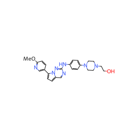 COc1ccc(-c2ccc3cnc(Nc4ccc(N5CCN(CCO)CC5)cc4)nn23)cn1